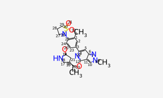 Cc1cc(-c2cc3nn(C)cc3c(OC(C)[C@H]3CNC(=O)C3)n2)ccc1N1CCCS1(=O)=O